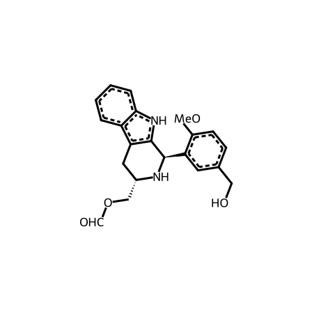 COc1ccc(CO)cc1[C@H]1N[C@H](COC=O)Cc2c1[nH]c1ccccc21